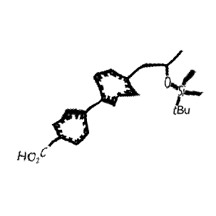 CC(Cc1ccc(-c2ccc(C(=O)O)cc2)cc1)O[Si](C)(C)C(C)(C)C